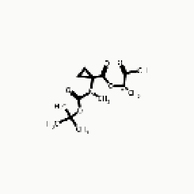 C[C@@H](OC(=O)C1(N(C)C(=O)OC(C)(C)C)CC1)C(=O)O